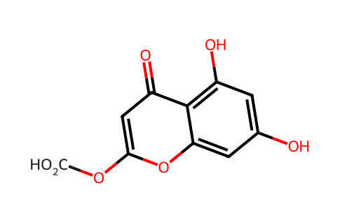 O=C(O)Oc1cc(=O)c2c(O)cc(O)cc2o1